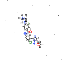 Cc1c(C(=O)Nc2ccc(Cl)c(-c3ncc(-c4ccco4)[nH]3)c2)ccc(N2C[C@@H](C)N(C)[C@@H](C)C2)c1F